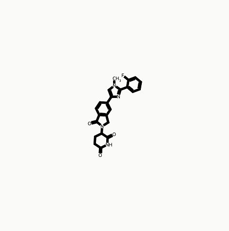 Cn1cc(-c2ccc3c(c2)CN(C2CCC(=O)NC2=O)C3=O)nc1-c1ccccc1F